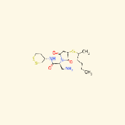 CCCCC(C)SC1CC(=O)N([C@@H](CN)C(=O)N[C@H]2CCSSC2)C1=O